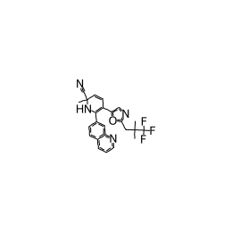 CC1(C#N)C=CC(c2cnc(CC(C)(C)C(F)(F)F)o2)=C(c2ccc3cccnc3c2)N1